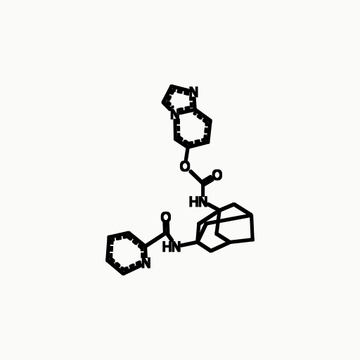 O=C(NC12CC3CC(C1)CC(NC(=O)c1ccccn1)(C3)C2)Oc1ccc2nccn2c1